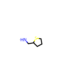 [NH]CC1CCCS1